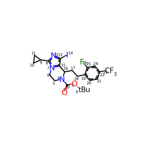 CC(C)(C)OC(=O)N1CCn2c(C3CC3)nc(I)c2C1CCc1ccc(C(F)(F)F)cc1F